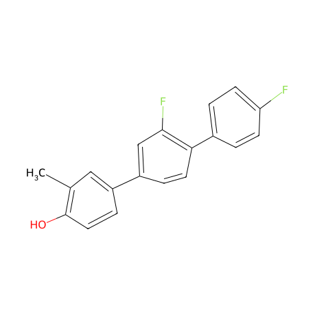 Cc1cc(-c2ccc(-c3ccc(F)cc3)c(F)c2)ccc1O